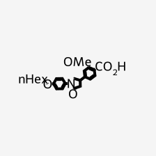 CCCCCCOc1ccc(N2CC(c3ccc(C(=O)O)c(OC)c3)CC2=O)cc1